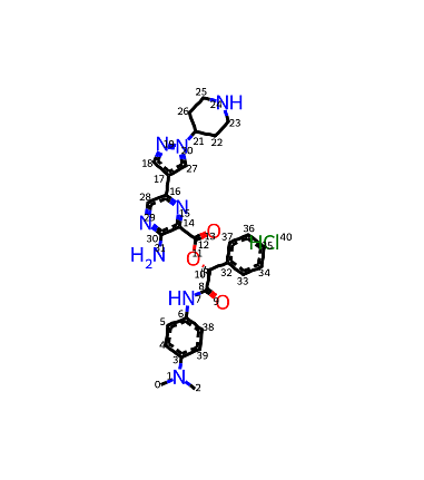 CN(C)c1ccc(NC(=O)[C@H](OC(=O)c2nc(-c3cnn(C4CCNCC4)c3)cnc2N)c2ccccc2)cc1.Cl